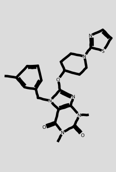 Cc1cccc(Cn2c(OC3CCN(c4nccs4)CC3)nc3c2c(=O)n(C)c(=O)n3C)c1